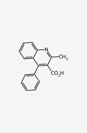 Cc1nc2ccccc2c(-c2ccccc2)c1C(=O)O